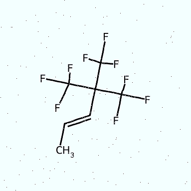 C/C=C/C(C(F)(F)F)(C(F)(F)F)C(F)(F)F